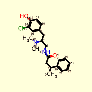 CC(CC(=O)NCC(Cc1ccc(O)c(Cl)c1)N(C)C)c1ccccc1